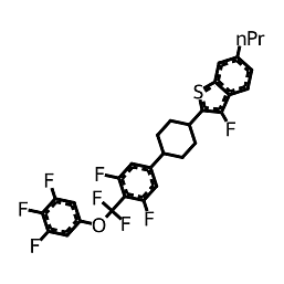 CCCc1ccc2c(F)c(C3CCC(c4cc(F)c(C(F)(F)Oc5cc(F)c(F)c(F)c5)c(F)c4)CC3)sc2c1